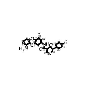 Nc1nccc(Oc2ccc(NC(=O)C3=CN=CC(c4ccc(F)cc4)C3=O)cc2F)c1Cl